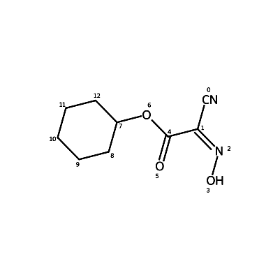 N#C/C(=N/O)C(=O)OC1CCCCC1